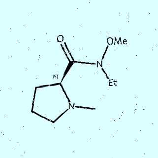 CCN(OC)C(=O)[C@@H]1CCCN1C